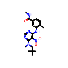 CNC(=O)c1ccc(C)c(Nc2ncnc(N(C)CC(C)(C)C)c2[N+](=O)[O-])c1